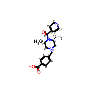 C[C@@H]1CN(Cc2ccc(C(=O)O)cc2)C[C@H](C)N1C(=O)c1ccncc1